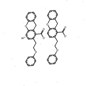 O=C([O-])c1c(CCOc2ccccc2)ccc2c1Cc1ccccc1O2.O=C([O-])c1c(CCOc2ccccc2)ccc2c1Cc1ccccc1O2.[Ni+2]